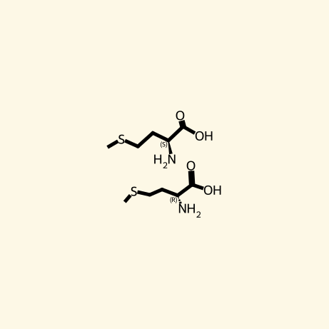 CSCC[C@@H](N)C(=O)O.CSCC[C@H](N)C(=O)O